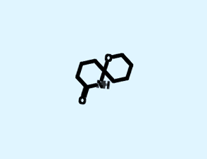 O=C1CCCC2(CCCCO2)N1